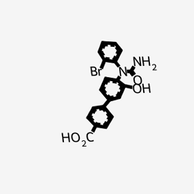 NC(=O)N(c1ccc(-c2ccc(C(=O)O)cc2)cc1O)c1ccccc1Br